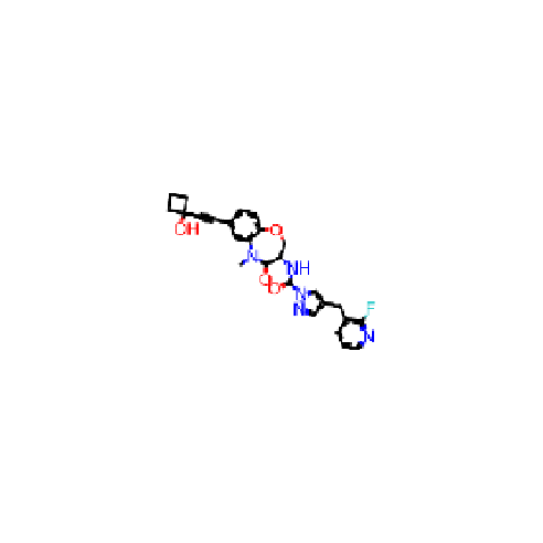 CN1C(=O)[C@H](NC(=O)n2cc(Cc3cccnc3F)cn2)COc2ccc(C#CC3(O)CCC3)cc21